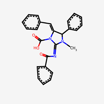 CN1/C(=N/C(=O)c2ccccc2)N(C(=O)O)/C(=C\c2ccccc2)C1c1ccccc1